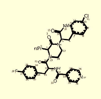 CCCC1C(=O)N(C(Cc2ccc(Cl)cc2)C(=O)NC)CCN1C(=O)C(Cc1ccc(F)cc1)NC(=O)c1ccncc1